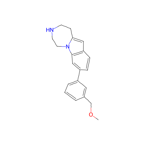 COCc1cccc(-c2ccc3cc4n(c3c2)CCNCC4)c1